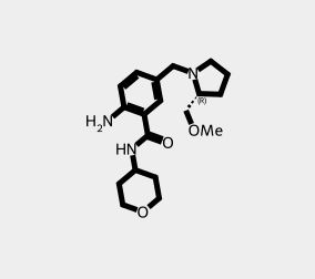 COC[C@H]1CCCN1Cc1ccc(N)c(C(=O)NC2CCOCC2)c1